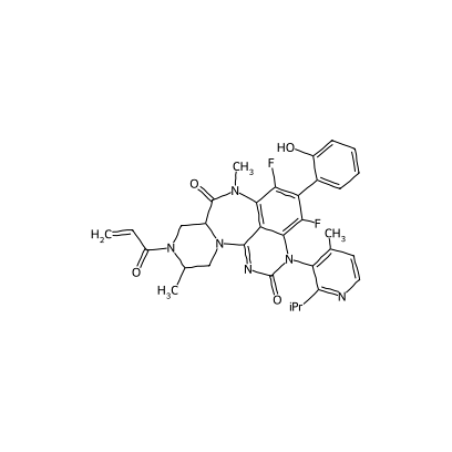 C=CC(=O)N1CC2C(=O)N(C)c3c(F)c(-c4ccccc4O)c(F)c4c3c(nc(=O)n4-c3c(C)ccnc3C(C)C)N2CC1C